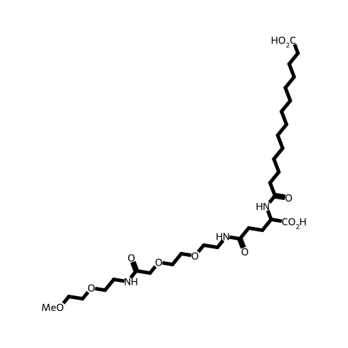 COCCOCCNC(=O)COCCOCCNC(=O)CCC(NC(=O)CCCCCCCCCCCCC(=O)O)C(=O)O